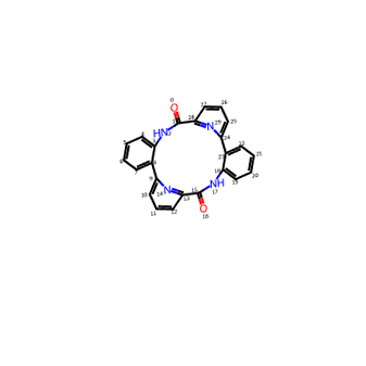 O=c1[nH]c2ccccc2c2cccc(n2)c(=O)[nH]c2ccccc2c2cccc1n2